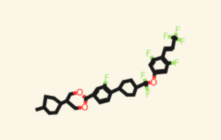 CC1CCC(C2COC(c3ccc(C4CCC(C(F)(F)Oc5cc(F)c(/C=C/C(F)(F)F)c(F)c5)CC4)c(F)c3)OC2)CC1